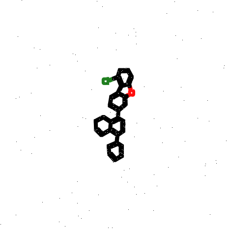 Clc1cccc2oc3cc(-c4ccc(-c5ccccc5)c5c4CCC=C5)ccc3c12